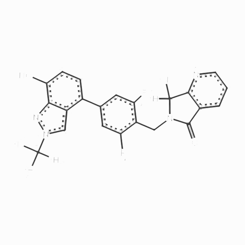 [2H]C1([2H])c2ncccc2C(=O)N1Cc1c(F)cc(-c2ccc(O)c3nn(C([2H])([2H])[2H])cc23)cc1F